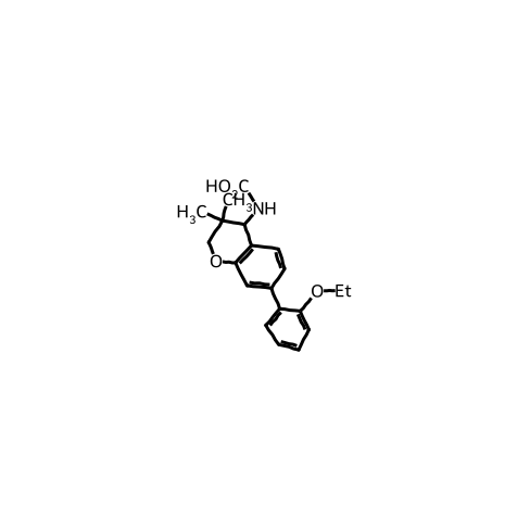 CCOc1ccccc1-c1ccc2c(c1)OCC(C)(C)C2NC(=O)O